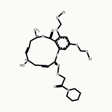 CCOCOc1cc2c(c(OCOCC)c1)C(=O)O[C@H](C)C/C=C/[C@H](O)C/C=C/C(=NOCC(=O)N1CCCCC1)C2